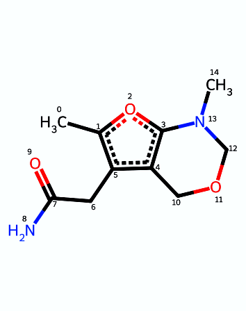 Cc1oc2c(c1CC(N)=O)COCN2C